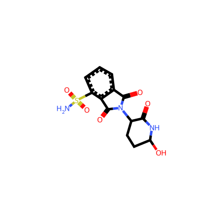 NS(=O)(=O)c1cccc2c1C(=O)N(C1CCC(O)NC1=O)C2=O